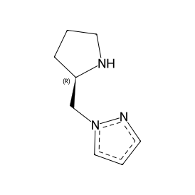 c1cnn(C[C@H]2CCCN2)c1